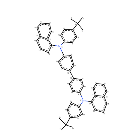 CC(C)(C)c1ccc(N(c2ccc(-c3ccc(N(c4ccc(C(C)(C)C)cc4)c4cccc5ccccc45)cc3)cc2)c2cccc3ccccc23)cc1